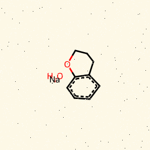 O.[Na].c1ccc2c(c1)CCCO2